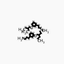 CCCC(CCN(C)CCCc1cccc(OCC(CC)CC)c1)COc1cccc(CCCN)c1